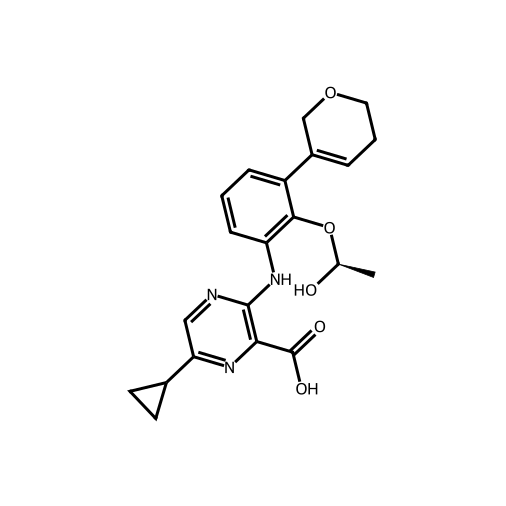 C[C@@H](O)Oc1c(Nc2ncc(C3CC3)nc2C(=O)O)cccc1C1=CCCOC1